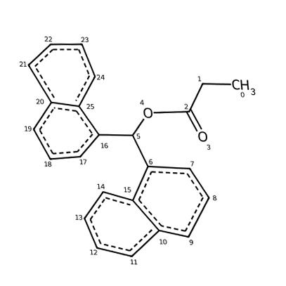 CCC(=O)OC(c1cccc2ccccc12)c1cccc2ccccc12